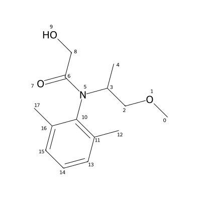 COCC(C)N(C(=O)CO)c1c(C)cccc1C